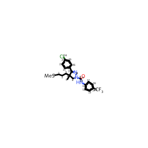 CSCCCC1(C)CN(C(=O)Nc2ccc(C(F)(F)F)cc2)N=C1c1ccc(Cl)cc1